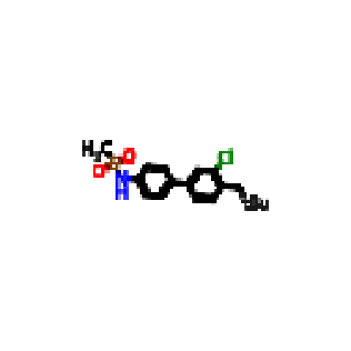 CC(C)(C)Cc1ccc(-c2ccc(NS(C)(=O)=O)cc2)cc1Cl